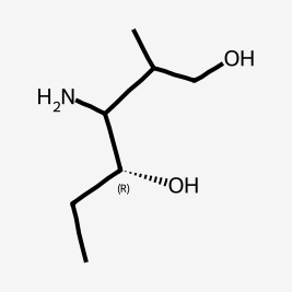 CC[C@@H](O)C(N)C(C)CO